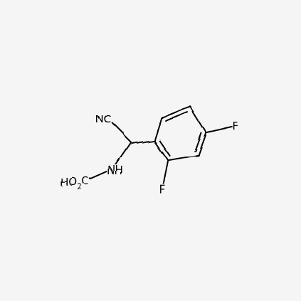 N#CC(NC(=O)O)c1ccc(F)cc1F